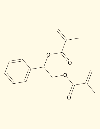 C=C(C)C(=O)OCC(OC(=O)C(=C)C)c1ccccc1